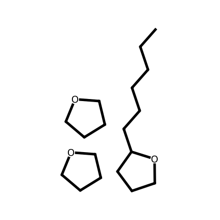 C1CCOC1.C1CCOC1.CCCCCCC1CCCO1